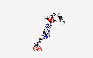 CC(C)(C)OC(=O)c1ccc(N2CCN(CCCCCCO)CC2)nc1